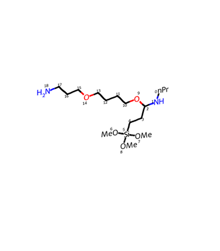 CCCNC(CC[Si](OC)(OC)OC)OCCCCOCCCN